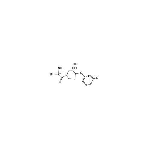 CC(C)[C@H](N)C(=O)N1CCC(Oc2cncc(Cl)c2)CC1.Cl.Cl